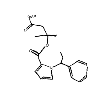 COC(=O)CC(C)(C)OC(=O)c1cccn1C(C)c1ccccc1